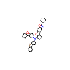 c1ccc(-c2nc3cc4c(cc3o2)oc2c(N(c3ccc5c(c3)sc3ccccc35)c3ccc5oc6ccccc6c5c3)cccc24)cc1